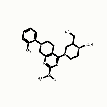 C[S+]([O-])c1nc2c(c(N3CCN(C(=O)O)C(CC#N)C3)n1)CCN(c1ccccc1C(F)(F)F)C2